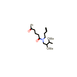 C=CCCN(CC(OC)C(C)OC)C(=O)CCCC(=O)C(C)C